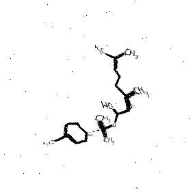 CC(C)=CCC/C(C)=C\C(O)OC(C)(C)[C@@H]1CC=C(C)CC1